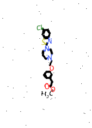 COC(=O)Cc1cccc(OCCN2CCCN(c3nc4ccc(Cl)cc4s3)CC2)c1